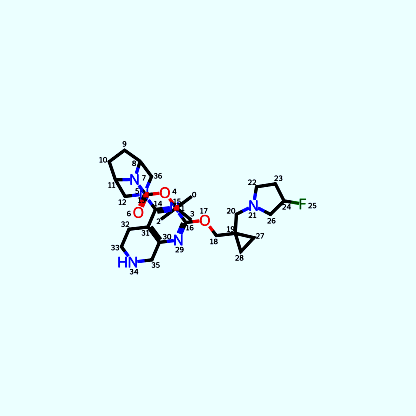 CC(C)(C)OC(=O)N1C2CCC1CN(c1nc(OCC3(CN4CCC(F)C4)CC3)nc3c1CCNC3)C2